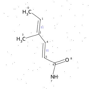 C/C=C(C)/C=C/C([NH])=O